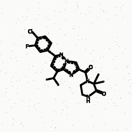 CC(C)c1cc(-c2ccc(Cl)c(F)c2)nn2cc(C(=O)N3CCNC(=O)C3(C)C)nc12